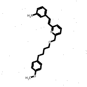 COc1ccc(CCCCOCc2cccc(C=Cc3cccc(N)c3)n2)cc1